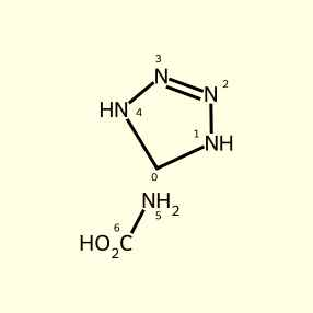 C1NN=NN1.NC(=O)O